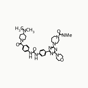 CNC(=O)N1CCCN(c2nc(-c3ccc(NC(=O)Nc4ccc(C(=O)N5CCC(N(C)C)CC5)cc4)cc3)nc(N3CCOCC3)n2)CC1